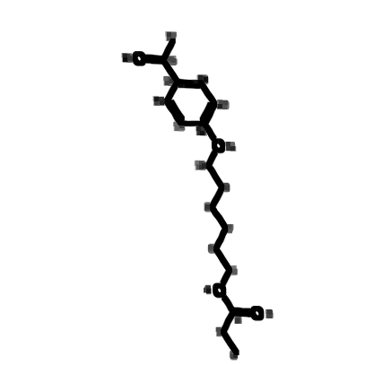 CCC(=O)OCCCCCCOc1ccc(C(C)=O)cc1